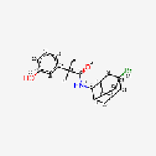 CC(C)(C(=O)NC1C2CC3CC1CC(Br)(C3)C2)c1cccc(O)c1